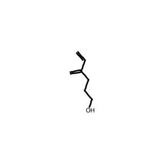 C=CC(=C)CCCO